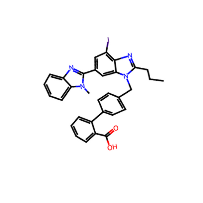 CCCc1nc2c(I)cc(-c3nc4ccccc4n3C)cc2n1Cc1ccc(-c2ccccc2C(=O)O)cc1